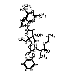 CCOC(=O)[C@@H](C)NP(=O)(OC[C@@]1(CCl)O[C@@H](n2cnc3c(NC)nc(N)nc32)C[C@@]1(O)F)Oc1ccccc1